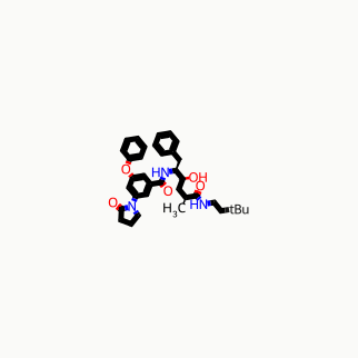 C[C@H](C[C@H](O)[C@H](Cc1ccccc1)NC(=O)c1cc(Oc2ccccc2)cc(N2CCCC2=O)c1)C(=O)NCCC(C)(C)C